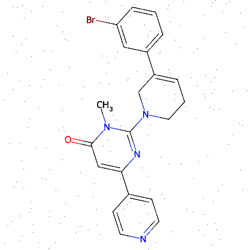 Cn1c(N2CCC=C(c3cccc(Br)c3)C2)nc(-c2ccncc2)cc1=O